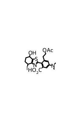 CC(=O)OCCc1cc(N(C)C)cc(C(=O)O)c1-c1nc2c(s1)C(O)CCC2I